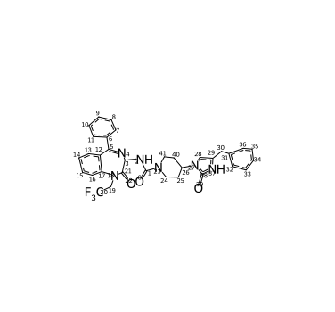 O=C(N[C@@H]1N=C(c2ccccc2)c2ccccc2N(CC(F)(F)F)C1=O)N1CCC(n2cc(Cc3ccccc3)[nH]c2=O)CC1